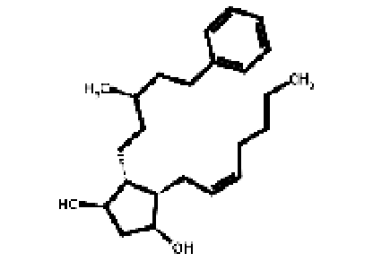 CCCC/C=C\C[C@@H]1[C@@H](CC[C@@H](C)CCc2ccccc2)[C@H](O)C[C@@H]1O